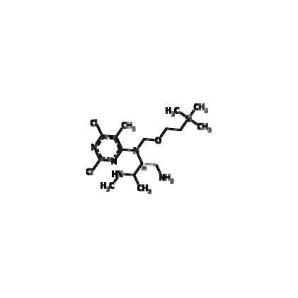 CNC(C)[C@@H](CN)N(COCC[Si](C)(C)C)c1nc(Cl)nc(Cl)c1C